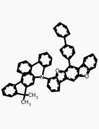 CC1(C)c2ccccc2-c2ccc(N(c3ccccc3-c3ccccc3)c3cccc4c3oc3c(-c5ccc(-c6ccccc6)cc5)c5c(cc34)oc3ccccc35)cc21